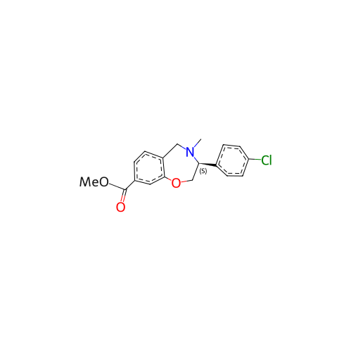 COC(=O)c1ccc2c(c1)OC[C@H](c1ccc(Cl)cc1)N(C)C2